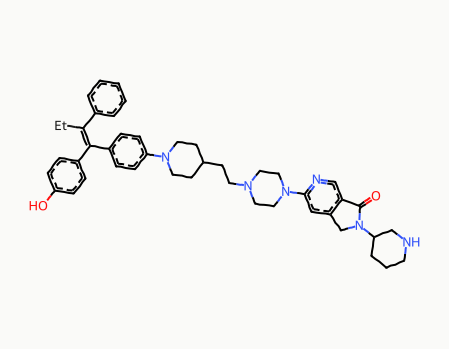 CCC(=C(c1ccc(O)cc1)c1ccc(N2CCC(CCN3CCN(c4cc5c(cn4)C(=O)N(C4CCCNC4)C5)CC3)CC2)cc1)c1ccccc1